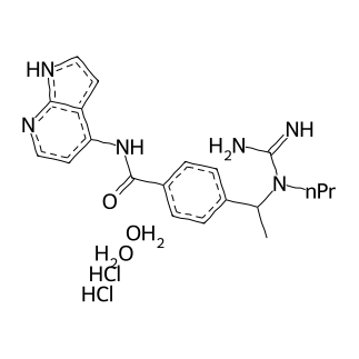 CCCN(C(=N)N)C(C)c1ccc(C(=O)Nc2ccnc3[nH]ccc23)cc1.Cl.Cl.O.O